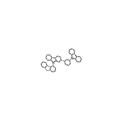 c1cc(-c2ccc3c4ccccc4n(-c4cccc5c4-c4ccccc4C5)c3c2)cc(-n2c3ccccc3c3ccccc32)c1